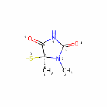 CN1C(=O)NC(=O)[C@]1(C)S